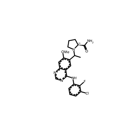 COc1cc2ncnc(Nc3cccc(Cl)c3F)c2cc1C(C)N1CCC[C@H]1C(N)=O